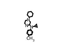 Cc1ccc(N(C2CC2)C2CN(C3CCCCC3)CC[N]2)cc1